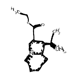 C=C(C)c1c(C(=O)OCC)cn2ccccc12